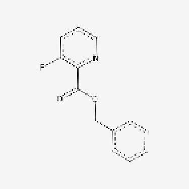 O=C(OCc1ccccc1)c1ncccc1F